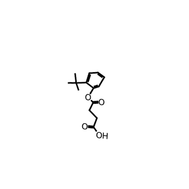 CC(C)(C)c1ccccc1OC(=O)CCC(=O)O